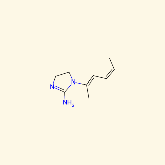 C/C=C\C=C(/C)N1CCN=C1N